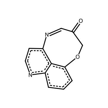 O=C1C=Nc2ccnc3cccc(c23)OC1